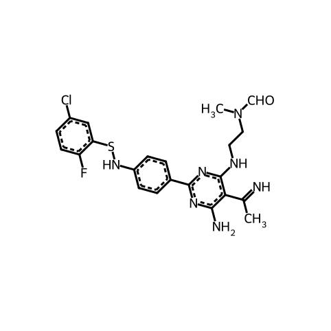 CC(=N)c1c(N)nc(-c2ccc(NSc3cc(Cl)ccc3F)cc2)nc1NCCN(C)C=O